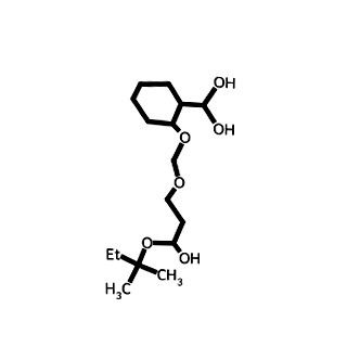 CCC(C)(C)OC(O)CCOCOC1CCCCC1C(O)O